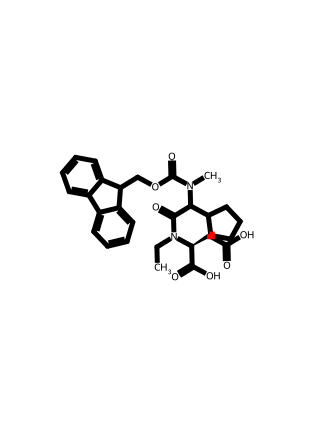 CCN(C(=O)C(C1CCCC1)N(C)C(=O)OCC1c2ccccc2-c2ccccc21)[C@@H](CC(=O)O)C(=O)O